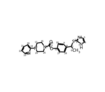 CC(Sc1ncc[nH]1)c1ccc(OC(=O)N2CCN(c3ccccn3)CC2)cc1